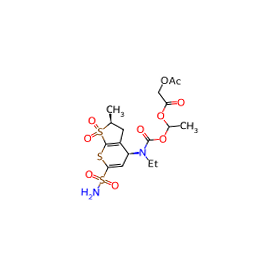 CCN(C(=O)OC(C)OC(=O)COC(C)=O)[C@H]1C=C(S(N)(=O)=O)SC2=C1C[C@H](C)S2(=O)=O